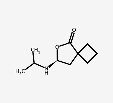 CC(C)N[C@@H]1CC2(CCC2)C(=O)O1